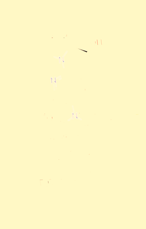 Cc1cc(F)ccc1-c1cc(N2CCC[C@H]2CO)ncc1N(C)C(=O)C(C)(C)c1cccc(C(F)(F)F)c1